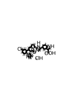 Cl.O=C(O)c1c[nH]c2ccc(-c3cnc([C@@H]4CCc5cc(-c6cc(Cl)ccc6-n6cnnn6)cc(=O)n54)[nH]3)cc12